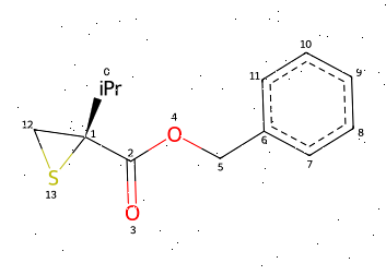 CC(C)[C@]1(C(=O)OCc2ccccc2)CS1